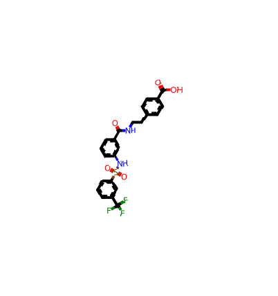 O=C(O)c1ccc(CCNC(=O)c2cccc(NS(=O)(=O)c3cccc(C(F)(F)F)c3)c2)cc1